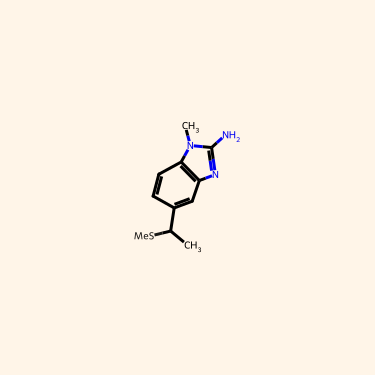 CSC(C)c1ccc2c(c1)nc(N)n2C